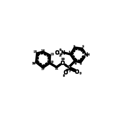 O=[N+]([O-])c1ccncc1S(=O)(=O)OCc1ccccc1